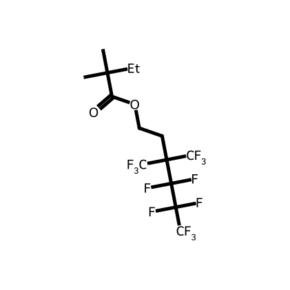 CCC(C)(C)C(=O)OCCC(C(F)(F)F)(C(F)(F)F)C(F)(F)C(F)(F)C(F)(F)F